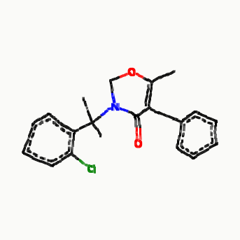 CC1=C(c2ccccc2)C(=O)N(C(C)(C)c2ccccc2Cl)CO1